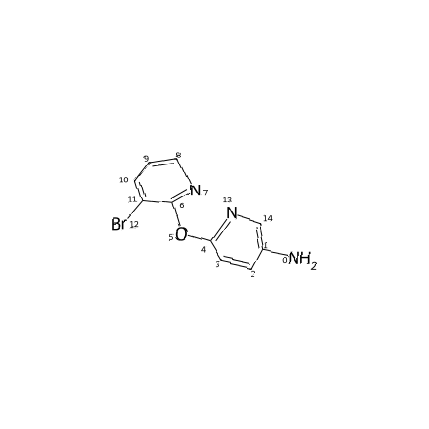 Nc1ccc(Oc2ncccc2Br)nc1